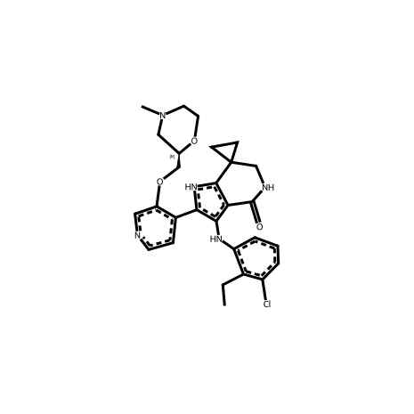 CCc1c(Cl)cccc1Nc1c(-c2ccncc2OC[C@H]2CN(C)CCO2)[nH]c2c1C(=O)NCC21CC1